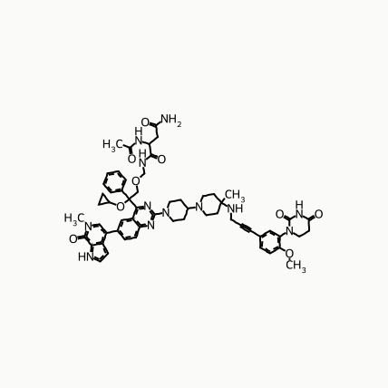 COc1ccc(C#CCNC2(C)CCN(C3CCN(c4nc(C(COCNC(=O)C(CC(N)=O)NC(C)=O)(OC5CC5)c5ccccc5)c5cc(-c6cn(C)c(=O)c7[nH]ccc67)ccc5n4)CC3)CC2)cc1N1CCC(=O)NC1=O